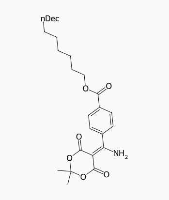 CCCCCCCCCCCCCCCCOC(=O)c1ccc(C(N)=C2C(=O)OC(C)(C)OC2=O)cc1